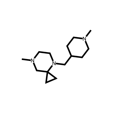 CN1CCC(CN2CCN(C)CC23CC3)CC1